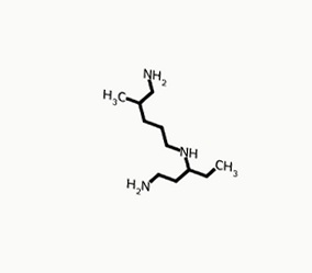 CCC(CCN)NCCCC(C)CN